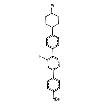 CCCCc1ccc(-c2ccc(-c3ccc(C4CCC(CC)CC4)cc3)c(F)c2)cc1